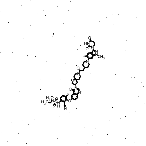 CCN(C)S(=O)(=O)Nc1ccc(F)c(Oc2ccc3ncn([C@H]4COC5(CCN(C(=O)CC6CCN(c7cc8c(cc7F)c(N7CCC(=O)NC7=O)nn8C)CC6)CC5)C4)c(=O)c3c2)c1C#N